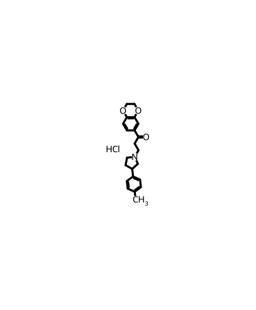 Cc1ccc(C2CCN(CCC(=O)c3ccc4c(c3)OCCO4)C2)cc1.Cl